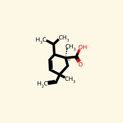 C=CC1(C)C=CC(C(C)C)[C@@](C)(C(=O)O)C1